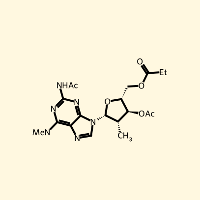 CCC(=O)OC[C@H]1O[C@@H](n2cnc3c(NC)nc(NC(C)=O)nc32)[C@@H](C)[C@@H]1OC(C)=O